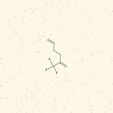 C=CCCC(=C)C(F)(F)F